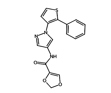 O=C(Nc1cnn(-c2ccsc2-c2ccccc2)c1)C1=COCO1